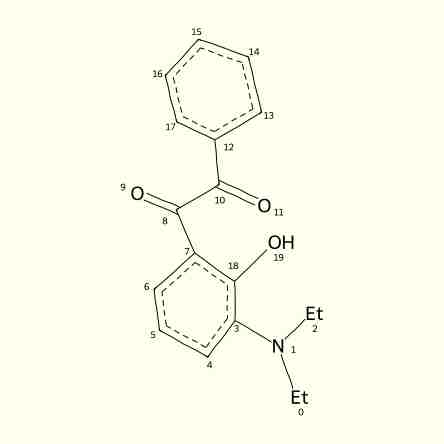 CCN(CC)c1cccc(C(=O)C(=O)c2ccccc2)c1O